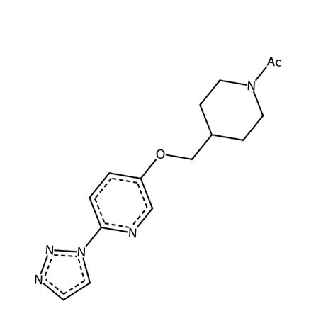 CC(=O)N1CCC(COc2ccc(-n3ccnn3)nc2)CC1